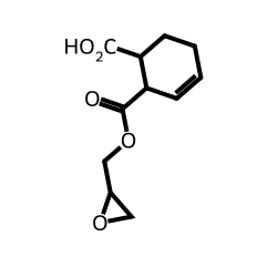 O=C(OCC1CO1)C1C=CCCC1C(=O)O